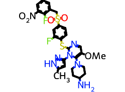 COC1=C(N2CCC(N)CC2)N(c2cc(C)[nH]n2)C(Sc2ccc(S(=O)(=O)Cc3cccc([N+](=O)[O-])c3F)cc2F)N=C1